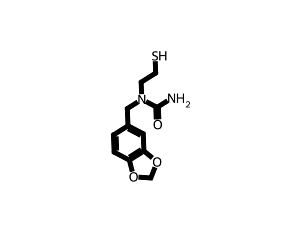 NC(=O)N(CCS)Cc1ccc2c(c1)OCO2